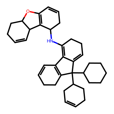 C1=CC2=C(CC1)C(C1CC=CCC1)(C1CCCCC1)C1=CCCC(NC3CC=CC4=C3C3C=CCCC3O4)=C12